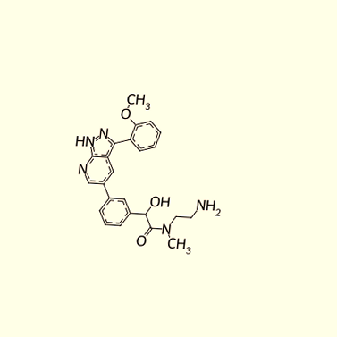 COc1ccccc1-c1n[nH]c2ncc(-c3cccc(C(O)C(=O)N(C)CCN)c3)cc12